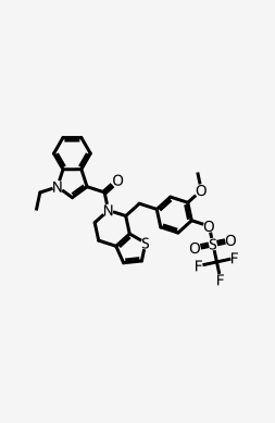 CCn1cc(C(=O)N2CCc3ccsc3C2Cc2ccc(OS(=O)(=O)C(F)(F)F)c(OC)c2)c2ccccc21